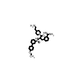 CCOc1ccc(-c2cccc([S+]([O-])NC(Cc3cccc(C(=N)N)c3)C(=O)N3CCC(CCN)CC3)c2)cc1